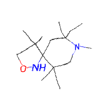 CN1CC(C)(C)C2(CC1(C)C)NOCC2(C)C